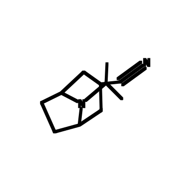 CC(C)N1C2CCC1CC(C#N)C2